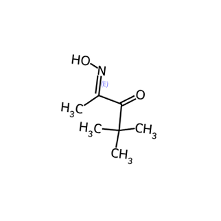 C/C(=N\O)C(=O)C(C)(C)C